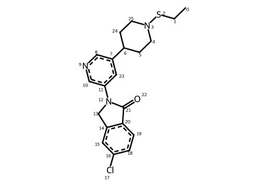 CCSN1CCC(c2cncc(N3Cc4cc(Cl)ccc4C3=O)c2)CC1